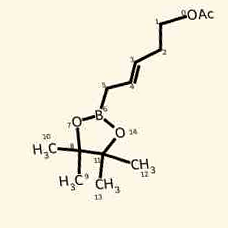 CC(=O)OCC/C=C/CB1OC(C)(C)C(C)(C)O1